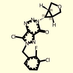 O=c1c2nn(Cc3cccc(Cl)c3F)c(Cl)c2nnn1[C@@H]1[C@@H]2COC[C@@H]21